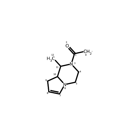 [CH2]C(=O)N1CCN2C=CCC2C1C